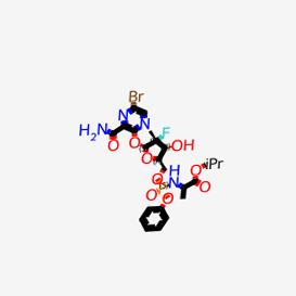 CC(C)OC(=O)C(C)N[P@](=O)(OC[C@H]1O[C@@H](Oc2ncc(Br)nc2C(N)=O)[C@](C)(F)[C@@H]1O)Oc1ccccc1